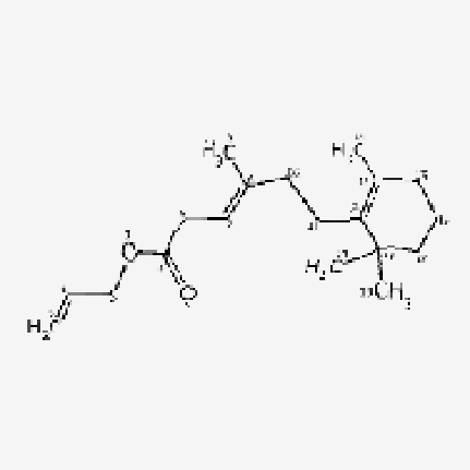 C=CCOC(=O)CC=C(C)CCC1=C(C)CCCC1(C)C